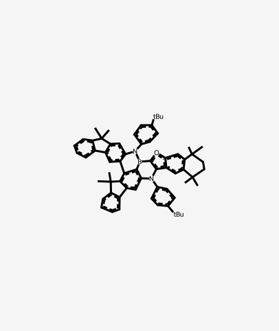 CC(C)(C)c1ccc(N2B3c4oc5cc6c(cc5c4N(c4ccc(C(C)(C)C)cc4)c4cc5c(c(c43)-c3cc4c(cc32)C(C)(C)c2ccccc2-4)C(C)(C)c2ccccc2-5)C(C)(C)CCC6(C)C)cc1